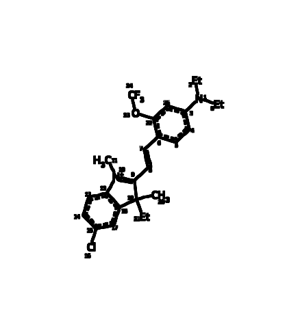 CCN(CC)c1ccc(/C=C/C2=[N+](C)c3ccc(Cl)cc3C2(C)CC)c(OC(F)(F)F)c1